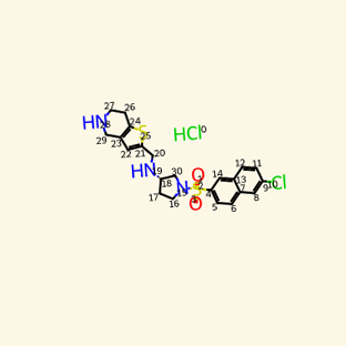 Cl.O=S(=O)(c1ccc2cc(Cl)ccc2c1)N1CC[C@H](NCc2cc3c(s2)CCNC3)C1